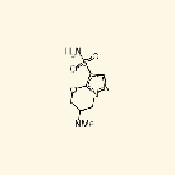 CNC1COc2c(S(N)(=O)=O)cnn2C1